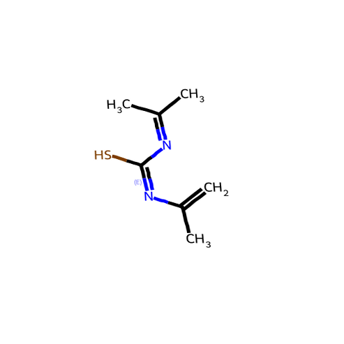 C=C(C)/N=C(/S)N=C(C)C